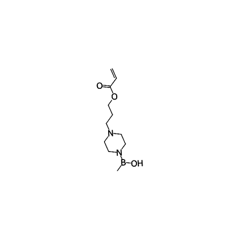 C=CC(=O)OCCCN1CCN(B(C)O)CC1